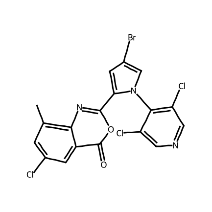 Cc1cc(Cl)cc2c(=O)oc(-c3cc(Br)cn3-c3c(Cl)cncc3Cl)nc12